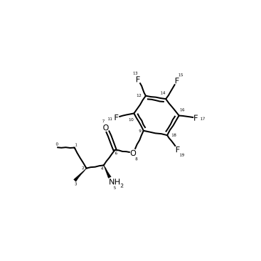 CC[C@H](C)[C@H](N)C(=O)Oc1c(F)c(F)c(F)c(F)c1F